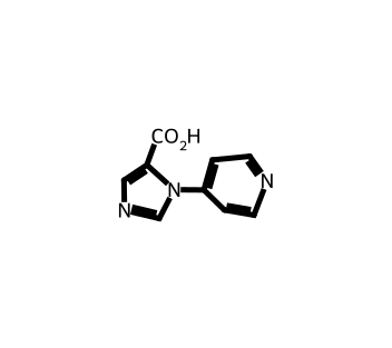 O=C(O)c1cncn1-c1ccncc1